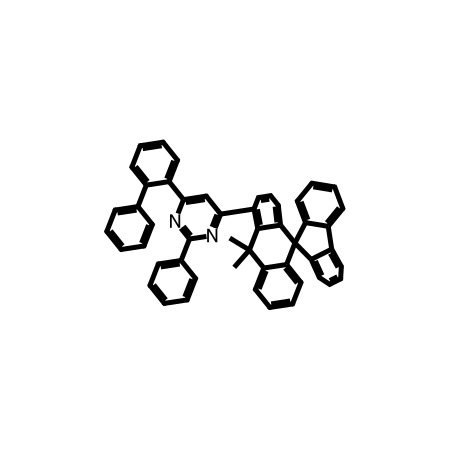 CC1(C)c2ccccc2C2(c3ccccc3-c3ccccc32)c2cccc(-c3cc(-c4ccccc4-c4ccccc4)nc(-c4ccccc4)n3)c21